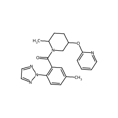 Cc1ccc(-n2nccn2)c(C(=O)N2CC(Oc3ccccn3)CCC2C)c1